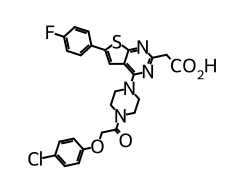 O=C(O)Cc1nc(N2CCN(C(=O)COc3ccc(Cl)cc3)CC2)c2cc(-c3ccc(F)cc3)sc2n1